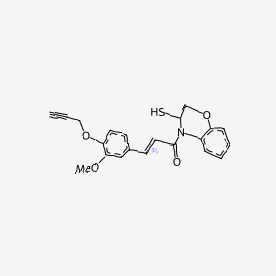 C#CCOc1ccc(/C=C/C(=O)N2c3ccccc3OCC2S)cc1OC